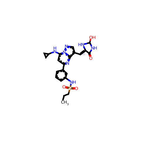 CCCS(=O)(=O)Nc1cccc(-c2cc(NC3CC3)n3ncc(/C=C4\NC(O)NC4=O)c3n2)c1